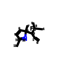 C=C[CH]([Fe]([CH3])[CH3])C1(C)C=CC(C)=N1